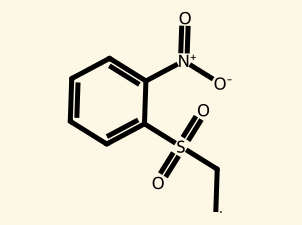 [CH2]CS(=O)(=O)c1ccccc1[N+](=O)[O-]